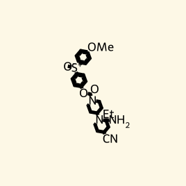 CCC1(N)CC(C#N)CCN1C1CCN(C(=O)Oc2ccc([S+]([O-])c3ccc(OC)cc3)cc2)CC1